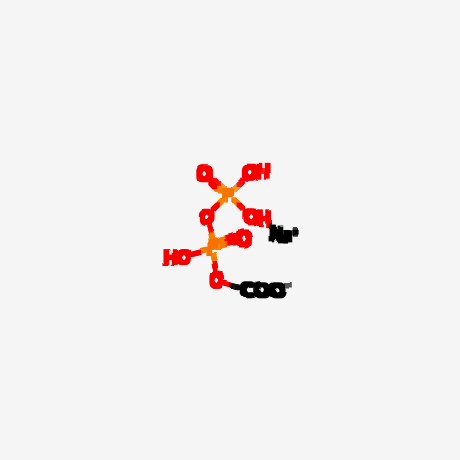 O=C([O-])OP(=O)(O)OP(=O)(O)O.[Na+]